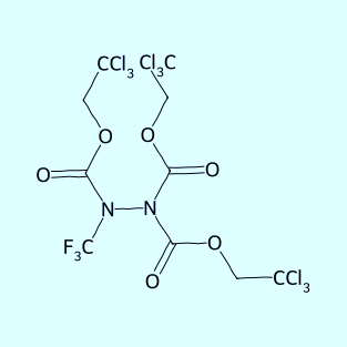 O=C(OCC(Cl)(Cl)Cl)N(C(=O)OCC(Cl)(Cl)Cl)N(C(=O)OCC(Cl)(Cl)Cl)C(F)(F)F